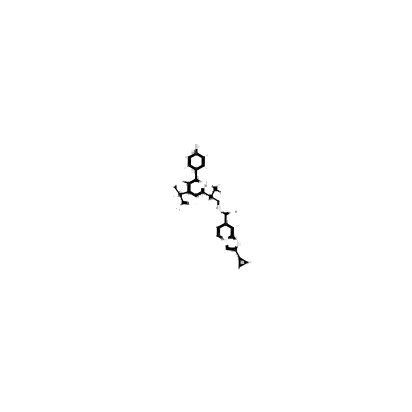 C[C@]1(C(N)=O)COc2c1cc(C(O)(CNC(=O)c1ccn3cc(C4CC4)nc3c1)C(F)(F)F)nc2-c1ccc(F)cc1